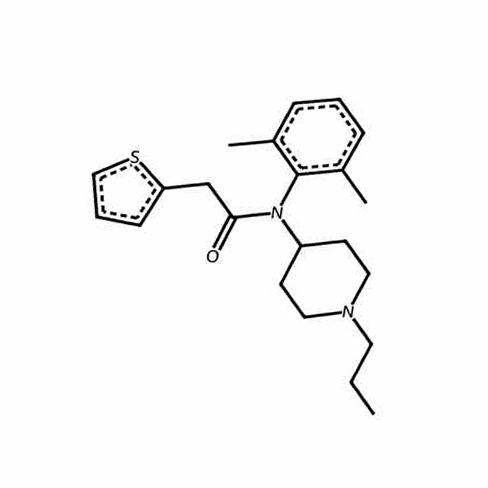 CCCN1CCC(N(C(=O)Cc2cccs2)c2c(C)cccc2C)CC1